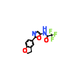 O=C(Nc1cnc(-c2ccc3c(c2)CCO3)o1)C(F)(F)F